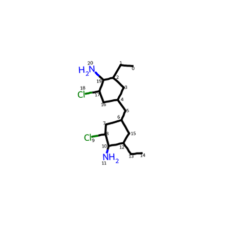 CCC1CC(CC2CC(Cl)C(N)C(CC)C2)CC(Cl)C1N